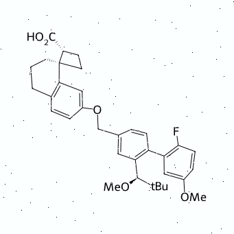 COc1ccc(F)c(-c2ccc(COc3ccc4c(c3)[C@]3(CCC4)CC[C@H]3C(=O)O)cc2[C@H](OC)C(C)(C)C)c1